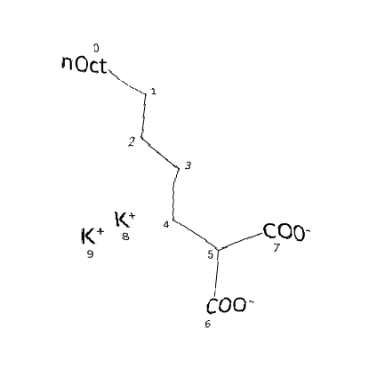 CCCCCCCCCCCCC(C(=O)[O-])C(=O)[O-].[K+].[K+]